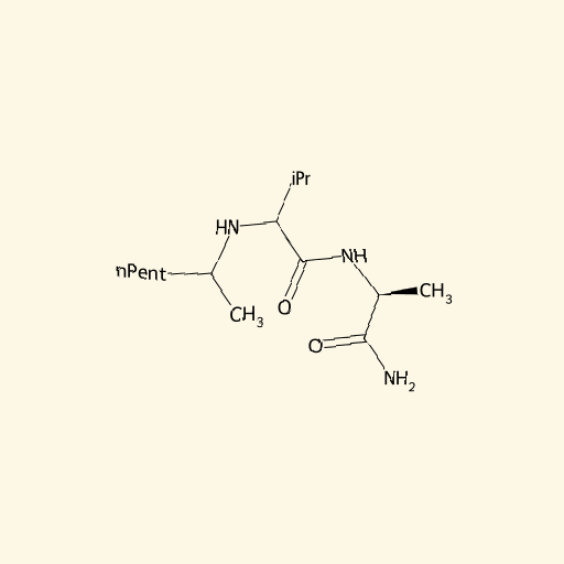 CCCCCC(C)NC(C(=O)N[C@@H](C)C(N)=O)C(C)C